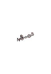 N#Cc1cc2ccc3cc(-c4ccc(-c5cc6ccc7cc(-c8cccc9ccccc89)cc8ccc(c5)c6c78)cc4)cc4c3c2c(c1)n4-c1ccccc1